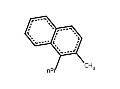 [CH2]CCc1c(C)ccc2ccccc12